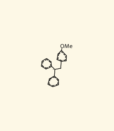 COc1ccc(C[C](c2ccccc2)c2ccccc2)cc1